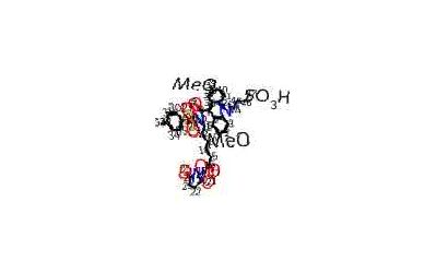 COc1ccc2c(c1)c(C(=O)N(CCCCCC(=O)ON1C(=O)CCC1=O)S(=O)(=O)c1ccc(C)cc1)c1cc(OC)ccc1[n+]2CCCS(=O)(=O)O